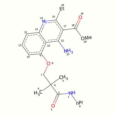 CCCNC(=O)C(C)(C)COc1cccc2nc(CC)c(C(=O)OC)c(N)c12